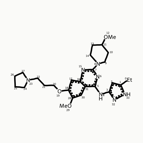 CCc1cc(Nc2nc(N3CCC(OC)CC3)nc3cc(OCCCN4CCCC4)c(OC)cc23)n[nH]1